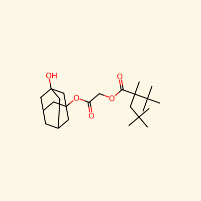 CC(C)(C)CC(C)(C(=O)OCC(=O)OC12CC3CC(CC(O)(C3)C1)C2)C(C)(C)C